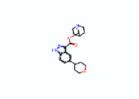 O=C(OC1CN2CCC1CC2)c1n[nH]c2ccc(C3CCOCC3)cc12